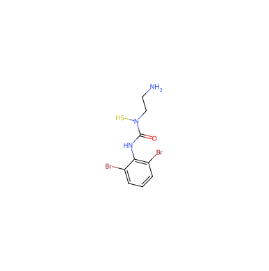 NCCN(S)C(=O)Nc1c(Br)cccc1Br